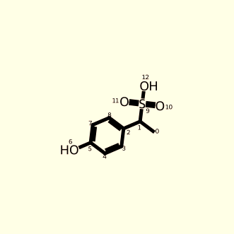 CC(c1ccc(O)cc1)S(=O)(=O)O